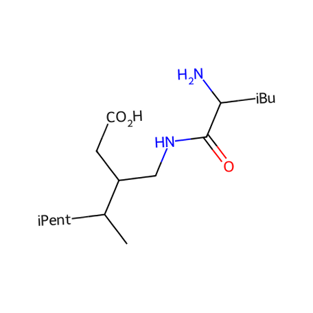 CCCC(C)C(C)C(CNC(=O)C(N)C(C)CC)CC(=O)O